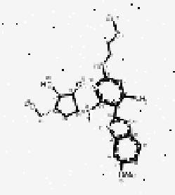 CCOCCNc1nc(C)c(-c2nc3cc(OC)ccc3s2)c(N[C@@H]2C[C@H](CO)[C@@H](O)[C@H]2O)n1